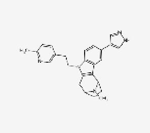 Cc1ccc(CCn2c3c(c4cc(-c5cn[nH]c5)ccc42)C2CCC(C3)N2C)cn1